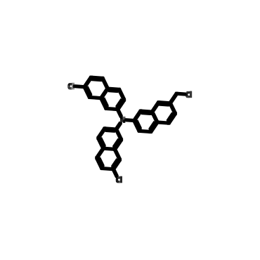 ClCc1ccc2ccc(N(c3ccc4ccc(Cl)cc4c3)c3ccc4ccc(Cl)cc4c3)cc2c1